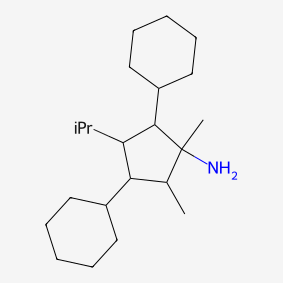 CC(C)C1C(C2CCCCC2)C(C)C(C)(N)C1C1CCCCC1